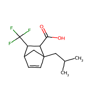 CC(C)CC12C=CC(C1)C(C(F)(F)F)C2C(=O)O